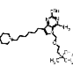 CCCCc1nc(N)c2c(n1)c(CCCCCCN1CCCCC1)cn2COCC[Si](C)(C)C